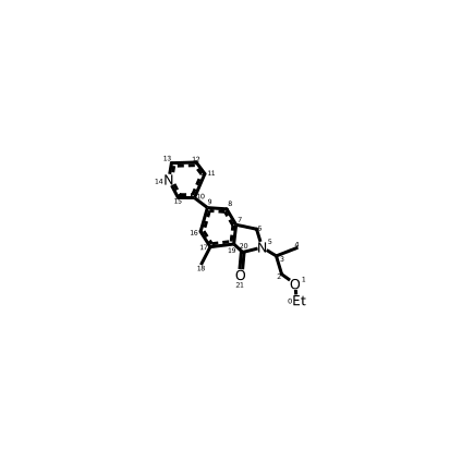 CCOCC(C)N1Cc2cc(-c3cccnc3)cc(C)c2C1=O